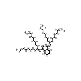 CCCCCCCCC(CCCCCCC)OC(=O)c1ccccc1C(=O)OC(CCCCCCC)CCCCCCCC